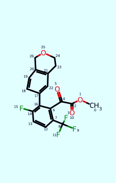 COC(=O)C(=O)c1c(C(F)(F)F)ccc(F)c1-c1ccc2c(c1)CCOC2